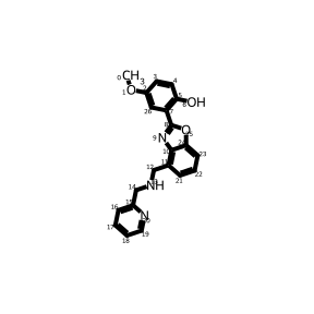 COc1ccc(O)c(-c2nc3c(CNCc4ccccn4)cccc3o2)c1